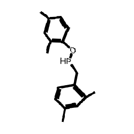 Cc1ccc(CPOc2ccc(C)cc2C)c(C)c1